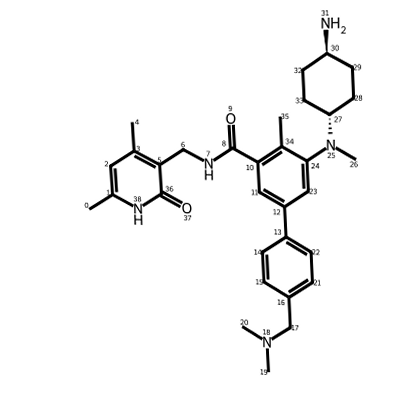 Cc1cc(C)c(CNC(=O)c2cc(-c3ccc(CN(C)C)cc3)cc(N(C)[C@H]3CC[C@H](N)CC3)c2C)c(=O)[nH]1